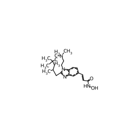 CC(Cc1nc2cc(C=CC(=O)NO)ccc2n1CCN(C)C)CC(C)(C)C